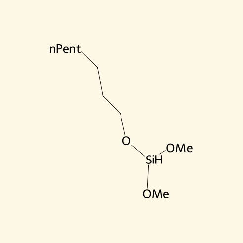 CCCCCCCCO[SiH](OC)OC